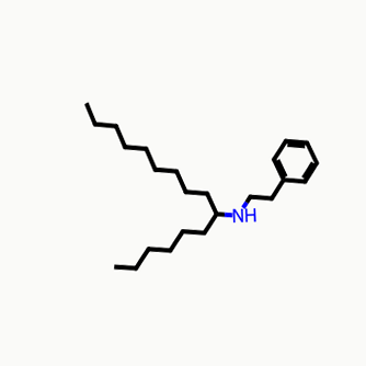 CCCCCCCCCC(CCCCCC)NCCc1ccccc1